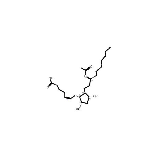 CCCCCCC[C@@H](CC[C@@H]1[C@@H](C/C=C\CCCC(=O)O)[C@@H](O)C[C@H]1O)OC(C)=O